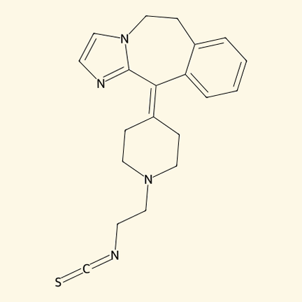 S=C=NCCN1CCC(=C2c3ccccc3CCn3ccnc32)CC1